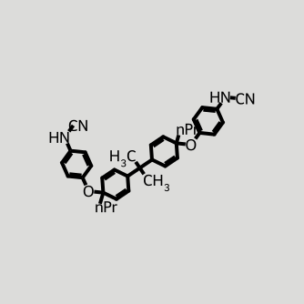 CCCC1(Oc2ccc(NC#N)cc2)C=CC(C(C)(C)C2C=CC(CCC)(Oc3ccc(NC#N)cc3)C=C2)C=C1